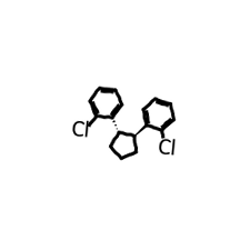 Clc1ccccc1[C@H]1CCC[C@@H]1c1ccccc1Cl